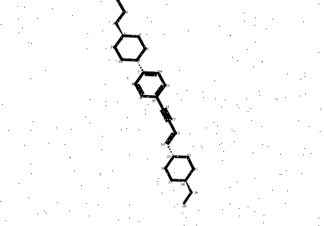 CCC[C@H]1CC[C@H](c2ccc(C#CC=C[C@H]3CC[C@H](CC)CC3)cc2)CC1